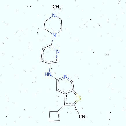 CN1CCN(c2ccc(Nc3cc4c(C5CCC5)c(C#N)sc4cn3)cn2)CC1